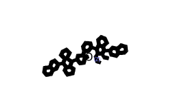 C=Cc1c(/C=C\C)c(-c2cccc3c2oc2ccc(-c4c5ccccc5c(-c5ccc6ccccc6c5)c5ccccc45)cc23)c2ccccc2c1-c1ccc2ccccc2c1